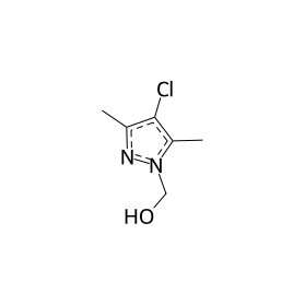 Cc1nn(CO)c(C)c1Cl